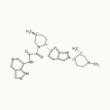 C[C@H]1CC[C@H](c2ccc3cn([C@H]4CCN(C)C[C@H]4C)nc3c2)N(C(=O)C(=O)Nc2cncc3cn[nH]c23)C1